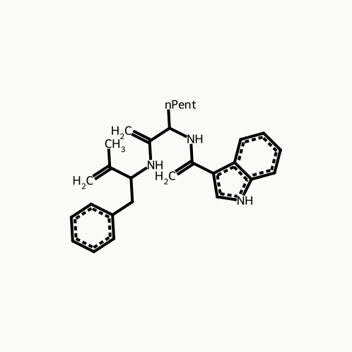 C=C(NC(CCCCC)C(=C)NC(Cc1ccccc1)C(=C)C)c1c[nH]c2ccccc12